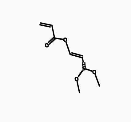 C=CC(=O)OC=C[SiH](OC)OC